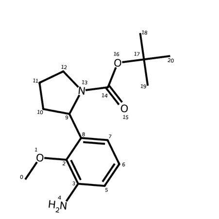 COc1c(N)cccc1C1CCCN1C(=O)OC(C)(C)C